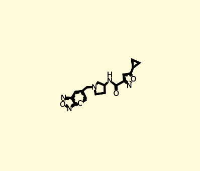 O=C(NC1CCN(Cc2ccc3nonc3c2)C1)c1cc(C2CC2)on1